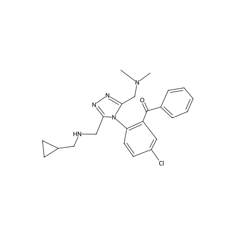 CN(C)Cc1nnc(CNCC2CC2)n1-c1ccc(Cl)cc1C(=O)c1ccccc1